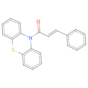 O=C(C=Cc1ccccc1)N1c2ccccc2Sc2ccccc21